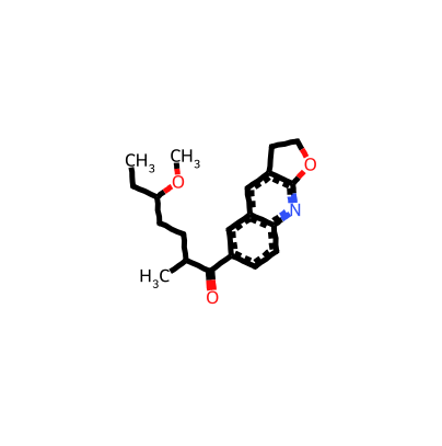 CCC(CCC(C)C(=O)c1ccc2nc3c(cc2c1)CCO3)OC